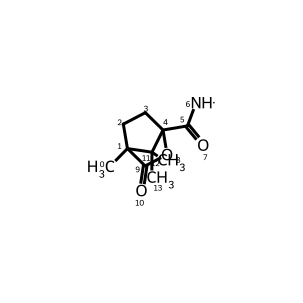 CC12CCC(C([NH])=O)(OC1=O)C2(C)C